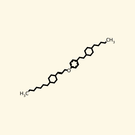 CCCCCCCC1CCC(C=CCOc2ccc(CCC3CCC(CCCCC)CC3)cc2)CC1